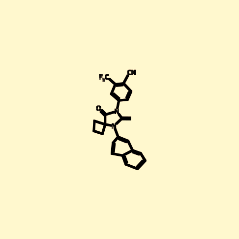 C=C1N(c2ccc(C#N)c(C(F)(F)F)c2)C(=O)C2(CCC2)N1c1ccc2ccccc2c1